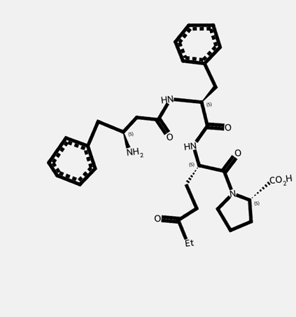 CCC(=O)CC[C@H](NC(=O)[C@H](Cc1ccccc1)NC(=O)C[C@@H](N)Cc1ccccc1)C(=O)N1CCC[C@H]1C(=O)O